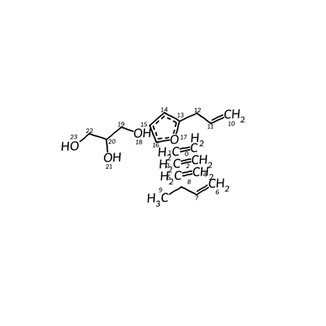 C=C.C=C.C=C.C=CCC.C=CCc1ccco1.OCC(O)CO